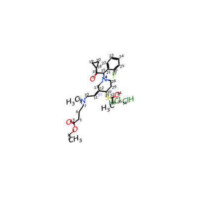 CCOC(=O)CCCN(C)C/C=C1\CN(C(C(=O)C2CC2)c2ccccc2F)CCC1SC(C)=O.Cl.Cl